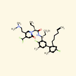 C=CCCCCc1cc(F)cc(C)c1-c1cc([C@H](CC(=O)OCC)NC(=O)[C@H](CC=C)n2cc(CCN(C)C)c(C(F)F)cc2=O)c(F)c(C(F)(F)F)c1